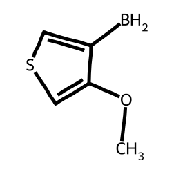 Bc1cscc1OC